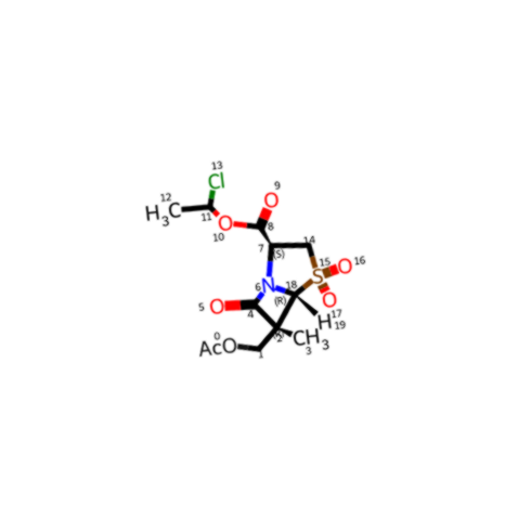 CC(=O)OC[C@]1(C)C(=O)N2[C@@H](C(=O)OC(C)Cl)CS(=O)(=O)[C@@H]21